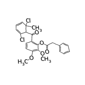 COc1ccc(C(=O)C2C(Cl)=CC=CC2(C)Cl)c(OC(=O)Cc2ccccc2)c1OC